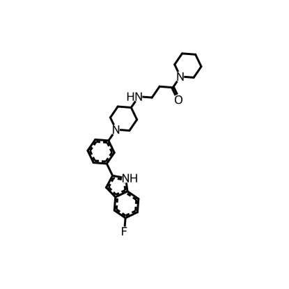 O=C(CCNC1CCN(c2cccc(-c3cc4cc(F)ccc4[nH]3)c2)CC1)N1CCCCC1